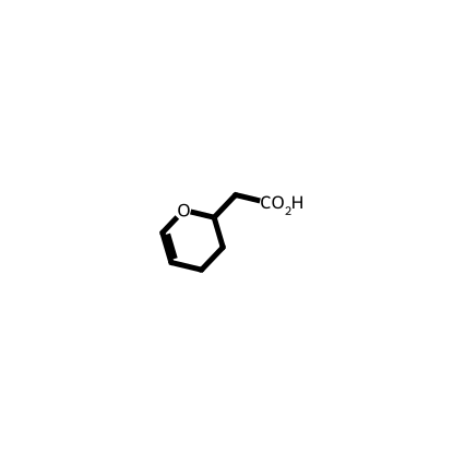 O=C(O)CC1CCC=CO1